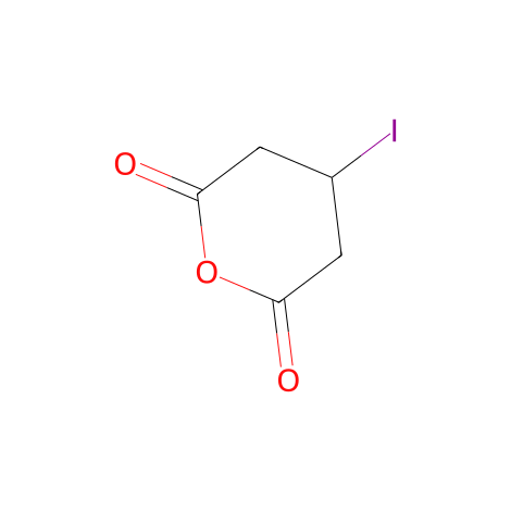 O=C1CC(I)CC(=O)O1